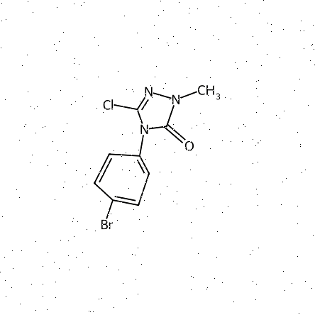 Cn1nc(Cl)n(-c2ccc(Br)cc2)c1=O